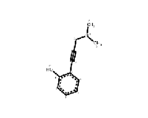 CN(C)CC#Cc1ccccc1O